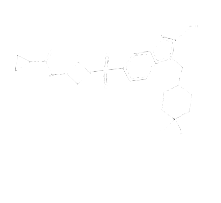 CC(C)(C)c1nc2cc(S(=O)(=O)N3CC(NC(=O)C4CC4)C3)ccc2n1CC1CCC(F)(F)CC1